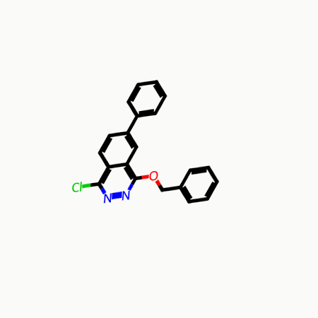 Clc1nnc(OCc2ccccc2)c2cc(-c3ccccc3)ccc12